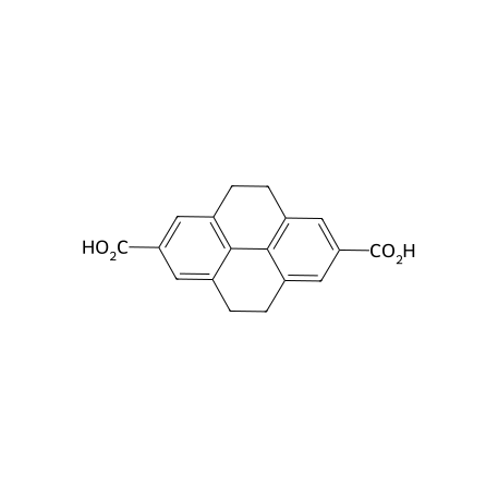 O=C(O)c1cc2c3c(c1)CCc1cc(C(=O)O)cc(c1-3)CC2